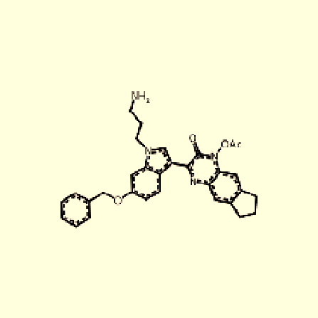 CC(=O)On1c(=O)c(-c2cn(CCCN)c3cc(OCc4ccccc4)ccc23)nc2cc3c(cc21)CCC3